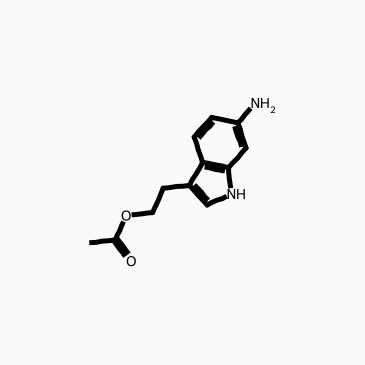 CC(=O)OCCc1c[nH]c2cc(N)ccc12